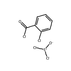 O=C(Cl)c1ccccc1Cl.[O-][S+](Cl)Cl